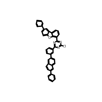 Clc1nc(-c2cccc(-c3ccc4cc(-c5ccccc5)ccc4c3)c2)nc(-c2cccc3c2oc2ccc(-c4ccccc4)cc23)n1